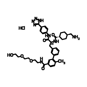 Cc1ccc(C(=O)NCCOCCOCCO)cc1-c1cccc(C[C@H](NC(=O)[C@H]2CC[C@H](CN)CC2)C(=O)Nc2ccc(-c3nnn[nH]3)cc2)c1.Cl